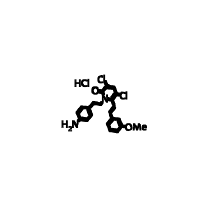 COc1cccc(C=Cc2c(Cl)cc(Cl)c(=O)n2CCc2ccc(N)cc2)c1.Cl